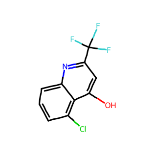 Oc1cc(C(F)(F)F)nc2cccc(Cl)c12